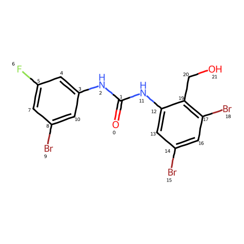 O=C(Nc1cc(F)cc(Br)c1)Nc1cc(Br)cc(Br)c1CO